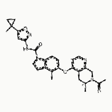 CC(=O)N1Cc2ncnc(Oc3ccc4c(ccn4C(=O)Nc4cc(C5(C)CC5)on4)c3C)c2C[C@@H]1C